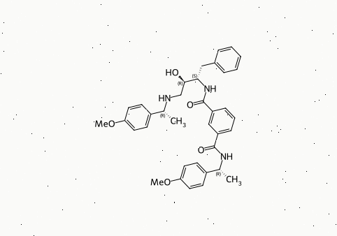 COc1ccc([C@@H](C)NC[C@@H](O)[C@H](Cc2ccccc2)NC(=O)c2cccc(C(=O)N[C@H](C)c3ccc(OC)cc3)c2)cc1